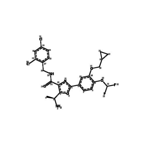 C[C@H](N)c1oc(-c2ccc(OC(F)F)c(OCC3CC3)c2)nc1C(=O)NCc1ccc(Cl)cc1Cl